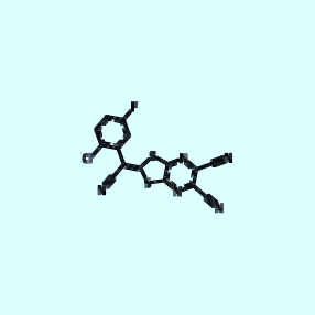 N#CC(=C1Sc2nc(C#N)c(C#N)nc2S1)c1cc(F)ccc1Cl